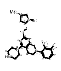 CCN1C[C@H](OC)C[C@H]1COc1nc2c(c(N3CCNCC3)n1)CCN(c1cccc(Cl)c1C(F)(F)F)C2